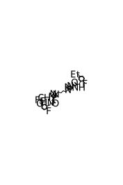 CCc1ccc(F)c(CC(=O)Nc2cn(CCCCn3cc(C(=O)NCc4cc(OC(C)(F)F)ccc4F)nn3)nn2)c1